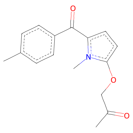 CC(=O)COc1ccc(C(=O)c2ccc(C)cc2)n1C